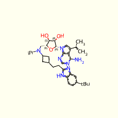 C=C(C)c1cn([C@@H]2O[C@H](CN(C(C)C)C3CC(CCc4nc5cc(C(C)(C)C)ccc5[nH]4)C3)[C@@H](O)[C@H]2O)c2ncnc(N)c12